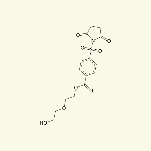 O=C(OCCOCCO)c1ccc(S(=O)(=O)N2C(=O)CCC2=O)cc1